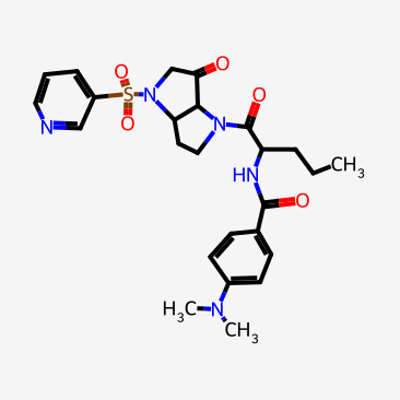 CCCC(NC(=O)c1ccc(N(C)C)cc1)C(=O)N1CCC2C1C(=O)CN2S(=O)(=O)c1cccnc1